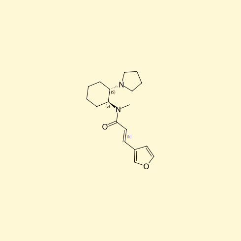 CN(C(=O)/C=C/c1ccoc1)[C@H]1CCCC[C@@H]1N1CCCC1